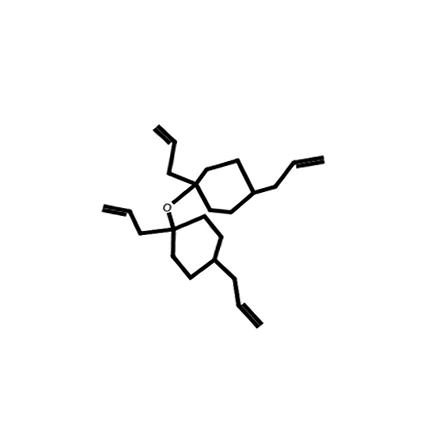 C=CCC1CCC(CC=C)(OC2(CC=C)CCC(CC=C)CC2)CC1